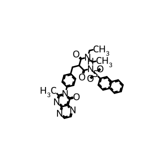 CCN(CC)C(=O)C(Cc1ccc(-n2c(C)nc3nccnc3c2=O)cc1)C(=O)NS(=O)(=O)c1ccc2ccccc2c1